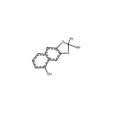 CC(C)C1(C(C)C)Oc2cc3cccc(O)c3cc2S1